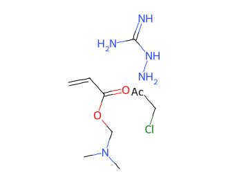 C=CC(=O)OCN(C)C.CC(=O)CCl.N=C(N)NN